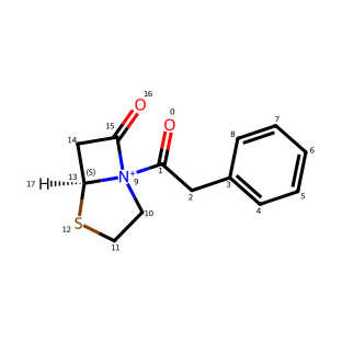 O=C(Cc1ccccc1)[N+]12CCS[C@H]1CC2=O